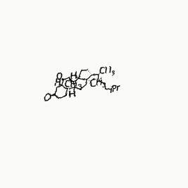 CC(C)CCC[C@@H](C)[C@H]1CC[C@H]2C3=CC(=O)[C@H]4CC(=O)CC[C@]4(C)[C@H]3CC[C@]12C